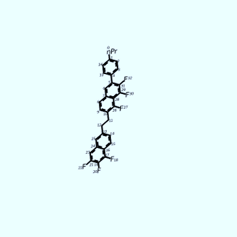 CCCc1ccc(-c2cc3ccc(CCc4ccc5c(F)c(F)c(F)cc5c4)c(F)c3c(F)c2F)cc1